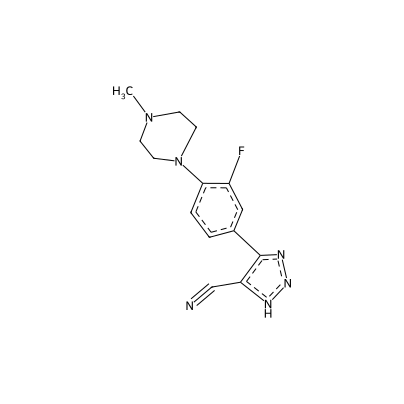 CN1CCN(c2ccc(-c3nn[nH]c3C#N)cc2F)CC1